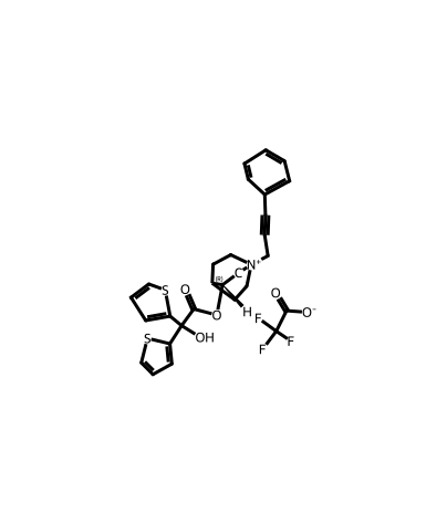 O=C(O[C@H]1C[N+]2(CC#Cc3ccccc3)CCC1CC2)C(O)(c1cccs1)c1cccs1.O=C([O-])C(F)(F)F